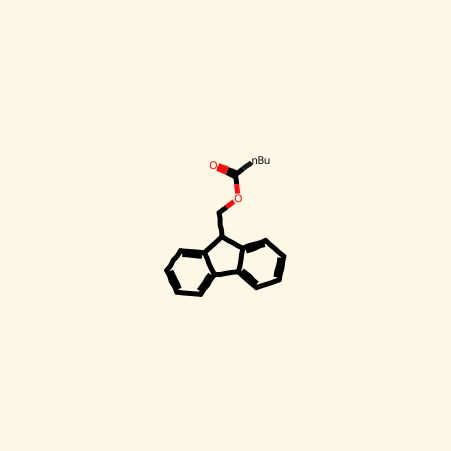 [CH2]CCCC(=O)OCC1c2ccccc2-c2ccccc21